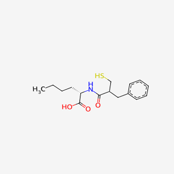 CCCC[C@H](NC(=O)C(CS)Cc1ccccc1)C(=O)O